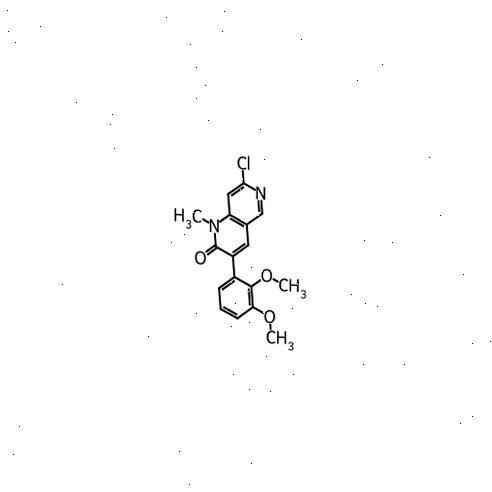 COc1cccc(-c2cc3cnc(Cl)cc3n(C)c2=O)c1OC